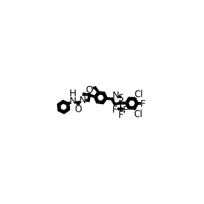 O=C(Nc1ccccc1)N1CC2(C1)OCc1cc(C3=NS[C@@](c4cc(Cl)c(F)c(Cl)c4)(C(F)(F)F)C3)ccc12